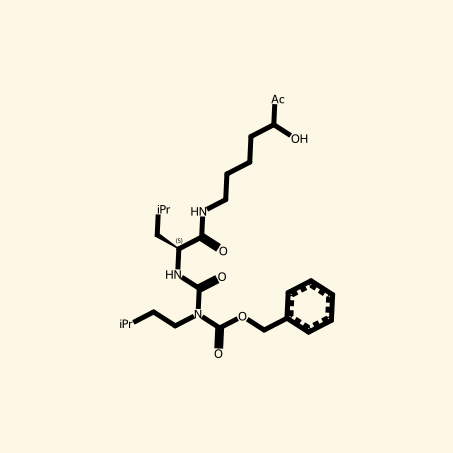 CC(=O)C(O)CCCCNC(=O)[C@H](CC(C)C)NC(=O)N(CCC(C)C)C(=O)OCc1ccccc1